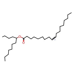 CCCCCCCC/C=C\CCCCCCCC(=O)OC(CCCC)CCCCCCC